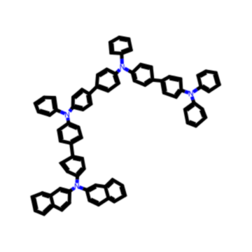 c1ccc(N(c2ccccc2)c2ccc(-c3ccc(N(c4ccccc4)c4ccc(-c5ccc(N(c6ccccc6)c6ccc(-c7ccc(N(c8ccc9ccccc9c8)c8ccc9ccccc9c8)cc7)cc6)cc5)cc4)cc3)cc2)cc1